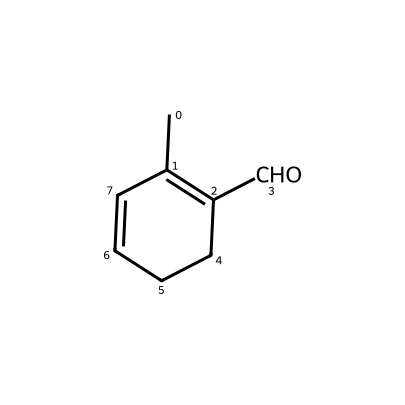 CC1=C(C=O)CCC=C1